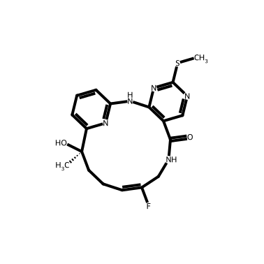 CSc1ncc2c(n1)Nc1cccc(n1)[C@](C)(O)CC/C=C(/F)CNC2=O